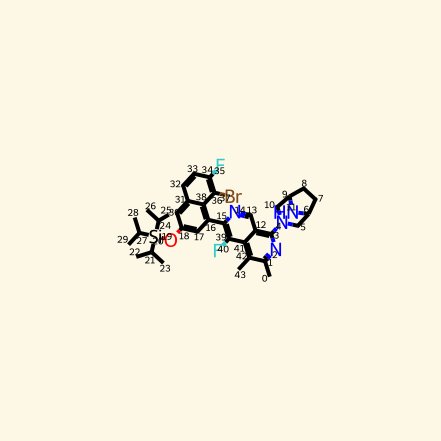 Cc1nc(N2CC3CCC(C2)N3)c2cnc(-c3cc(O[Si](C(C)C)(C(C)C)C(C)C)cc4ccc(F)c(Br)c34)c(F)c2c1C